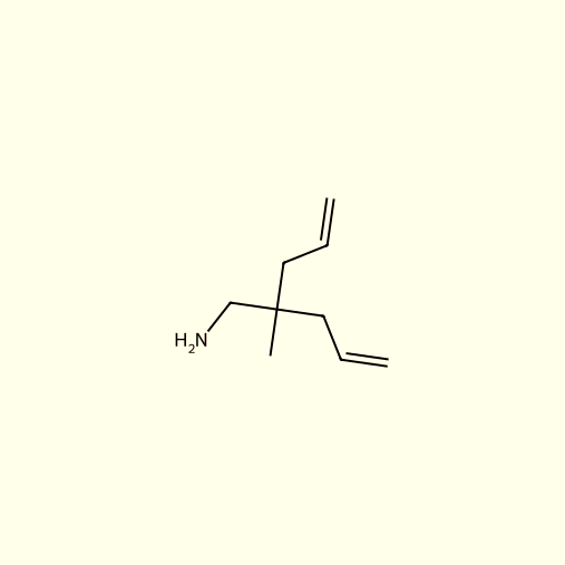 C=CCC(C)(CN)CC=C